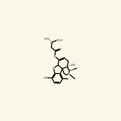 CC(=O)O[C@@H](CC(=O)OC1=CC[C@@]2(O)[C@@H](C)N(C)CCC23c2c(C)ccc(O)c2OC13)C(=O)O